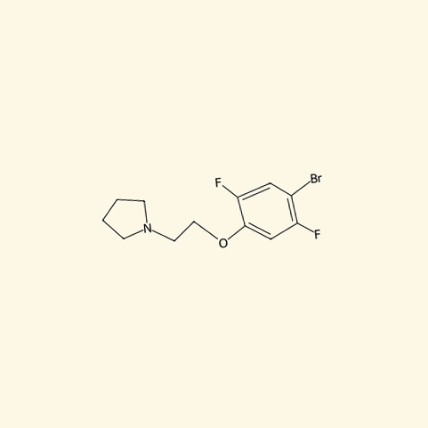 Fc1cc(OCCN2CCCC2)c(F)cc1Br